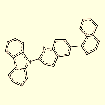 c1ccc2c(-c3ccc4nc(-n5c6ccccc6c6ccccc65)ccc4c3)cccc2c1